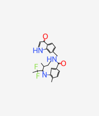 CCC(C)/C(=N\c1cc(C(=O)NCc2ccc3c(=O)cc[nH]c3c2)ccc1C)C(C)(F)F